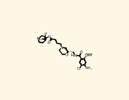 COc1cc(N)c(Cl)cc1C(=O)NC[C@H]1CN(CCCC(=O)O[C@H]2CN3CCC2CC3)CCO1